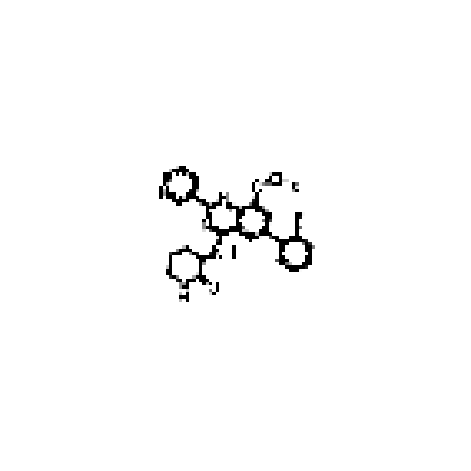 COc1cc(-c2ccccc2F)cc2c(NC3CCCNC3=O)nc(-c3cccnc3)nc12